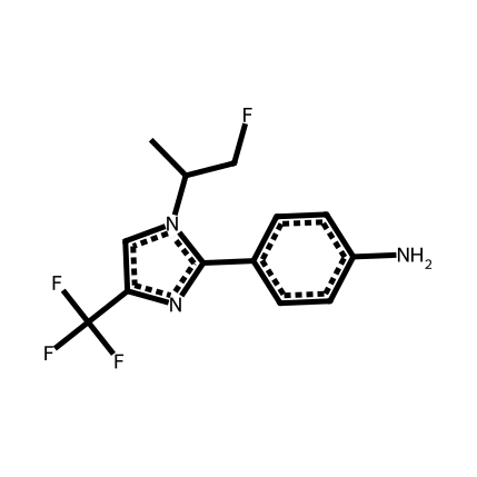 CC(CF)n1cc(C(F)(F)F)nc1-c1ccc(N)cc1